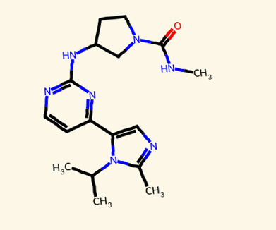 CNC(=O)N1CCC(Nc2nccc(-c3cnc(C)n3C(C)C)n2)C1